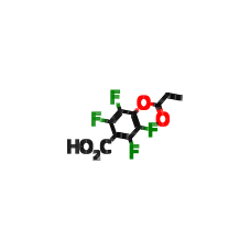 C=CC(=O)Oc1c(F)c(F)c(C(=O)O)c(F)c1F